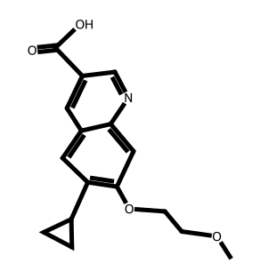 COCCOc1cc2ncc(C(=O)O)cc2cc1C1CC1